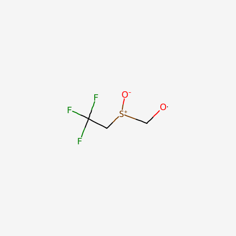 [O]C[S+]([O-])CC(F)(F)F